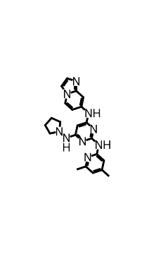 Cc1cc(C)nc(Nc2nc(Nc3ccn4ccnc4c3)cc(NN3CCCC3)n2)c1